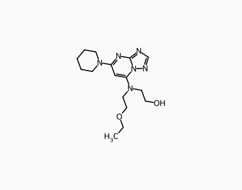 CCOCCN(CCO)c1cc(N2CCCCC2)nc2ncnn12